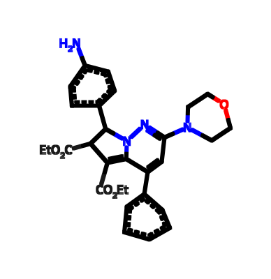 CCOC(=O)C1=C2C(c3ccccc3)=CC(N3CCOCC3)=NN2C(c2ccc(N)cc2)C1C(=O)OCC